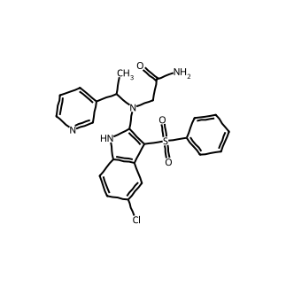 CC(c1cccnc1)N(CC(N)=O)c1[nH]c2ccc(Cl)cc2c1S(=O)(=O)c1ccccc1